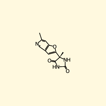 Cc1cc2oc([C@]3(C)NC(=O)NC3=O)cc2cn1